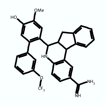 COc1cc(C2Nc3ccc(C(=N)N)cc3C3c4ccccc4CC23)c(-c2cccc(OC(F)(F)F)c2)cc1O